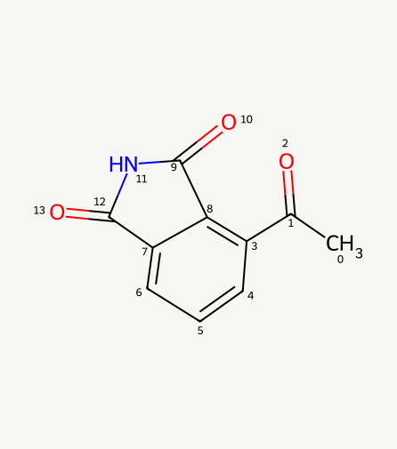 CC(=O)c1cccc2c1C(=O)NC2=O